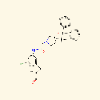 CC(C)(C)[Si](O[C@@H]1CCN(CC(=O)Nc2cc(F)c3c(c2)CC(C=O)C3)C1)(c1ccccc1)c1ccccc1